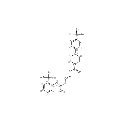 C[C@@H](COCCC(=O)N1CCN(c2cnc(C(F)(F)F)cn2)CC1)Nc1cnncc1C(F)(F)F